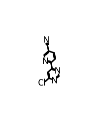 N#Cc1ccc(-c2cc(Cl)ncn2)nc1